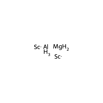 [AlH3].[MgH2].[Sc].[Sc]